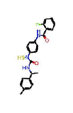 Cc1ccc(C(C)NC(=O)N(S)c2ccc(NC(=O)c3ccccc3F)cc2)cc1